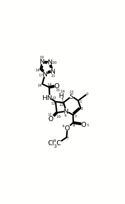 CC1C=C(C(=O)OCC(Cl)(Cl)Cl)N2C(=O)C(NC(=O)Cn3cnnn3)[C@H]2S1